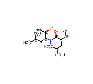 CC(C)N[C@@H](CC(C(=O)O)C(=O)O)C(=O)N[C@@H](CC(C(=O)O)C(=O)O)C(=O)C(C)(C)C